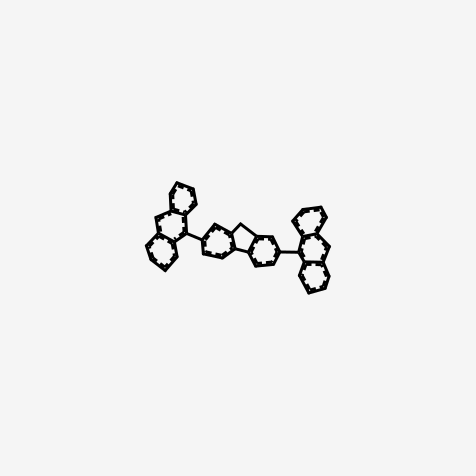 c1ccc2c(-c3ccc4c(c3)Cc3cc(-c5c6ccccc6cc6ccccc56)ccc3-4)c3ccccc3cc2c1